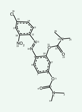 CN(C)C(=O)Oc1ccc(/N=N/c2ccc(Cl)cc2[N+](=O)[O-])c(OC(=O)N(C)C)c1